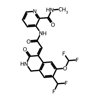 CNC(=O)c1ncccc1NC(=O)/C=C1\C(=O)NCc2cc(C(F)F)c(OC(F)F)cc21